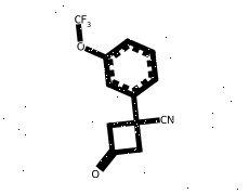 N#CC1(c2cccc(OC(F)(F)F)c2)CC(=O)C1